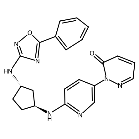 O=c1cccnn1-c1ccc(N[C@H]2CC[C@H](Nc3noc(-c4ccccc4)n3)C2)nc1